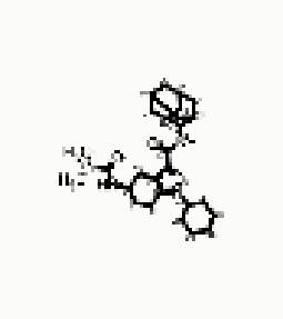 CN(C)C(=O)NC1CCc2c(c(C(=O)NC3C4CC5CC(C4)CC3C5)nn2C2CCCCC2)C1